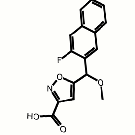 COC(c1cc(C(=O)O)no1)c1cc2ccccc2cc1F